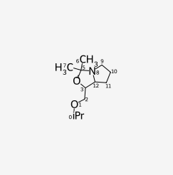 CC(C)OCC1OC(C)(C)N2CCCC12